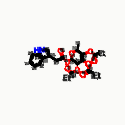 CCC(=O)OC1=C(OC(=O)CC)[C@H](OC(=O)CC)[C@H](OC(=O)Cc2c[nH]c3ccccc23)O[C@H]1C